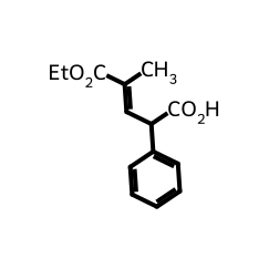 CCOC(=O)C(C)=CC(C(=O)O)c1ccccc1